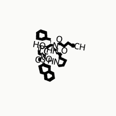 C#CCCC(=O)N(NC(=O)C1CCCN1)[C@@H](Cc1ccccc1)[C@H](O)CN(CC(C)C)S(=O)(=O)c1ccc2ccccc2c1